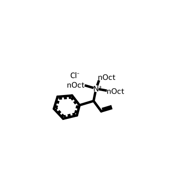 C=CC(c1ccccc1)[N+](CCCCCCCC)(CCCCCCCC)CCCCCCCC.[Cl-]